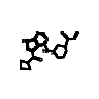 C=CC(=O)N1CCC[C@@H](Nc2ncnc3[nH]cc(C(=O)C4CCC4)c23)C1